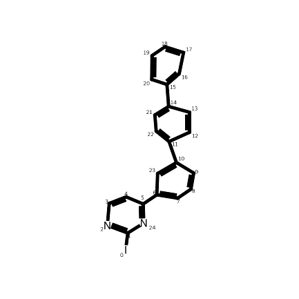 Ic1nccc(-c2cccc(-c3ccc(-c4ccccc4)cc3)c2)n1